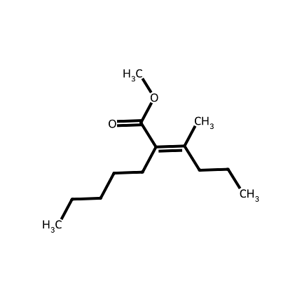 CCCCCC(C(=O)OC)=C(C)CCC